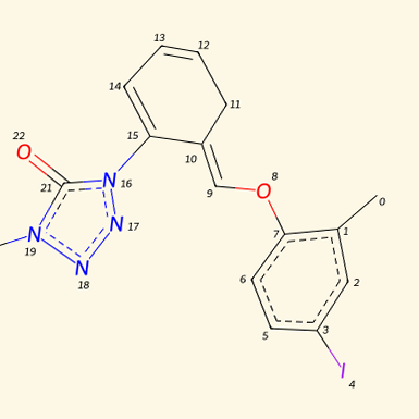 Cc1cc(I)ccc1OC=C1CC=CC=C1n1nnn(C)c1=O